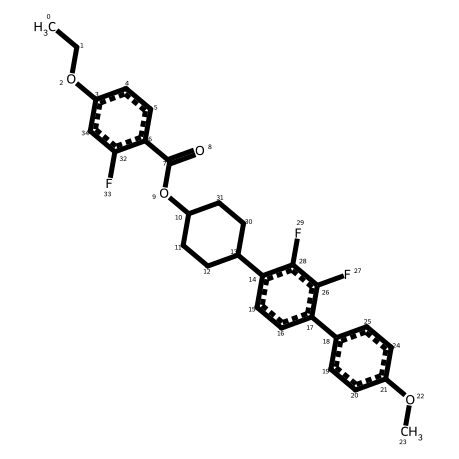 CCOc1ccc(C(=O)OC2CCC(c3ccc(-c4ccc(OC)cc4)c(F)c3F)CC2)c(F)c1